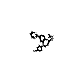 Cc1nnc2n1-c1ccc(-c3ncccn3)cc1N(c1ccc(Cl)cc1)CC2